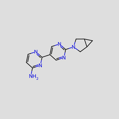 Nc1ccnc(-c2cnc(N3CC4CC4C3)nc2)n1